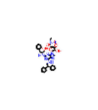 CCNC(=O)[C@H]1O[C@H](n2cnc3c(NCC(c4ccccc4)c4ccccc4)nc(NC(CO)Cc4ccccc4)nc32)[C@H](O)[C@@H]1O